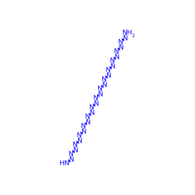 N=N/N=N/N=N/N=N/N=N/N=N/N=N/N=N/N=N/N=N/N=N/N=N/N=N/N=N/N